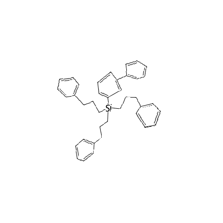 c1ccc(CCC[Si](CCCc2ccccc2)(CCCc2ccccc2)c2cccc(-c3ccccc3)c2)cc1